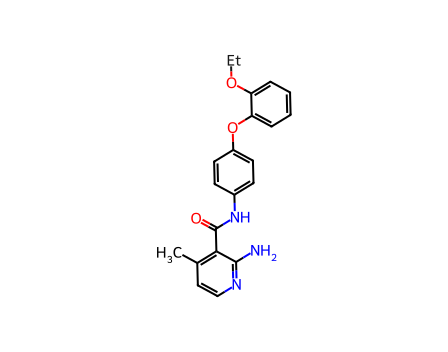 CCOc1ccccc1Oc1ccc(NC(=O)c2c(C)ccnc2N)cc1